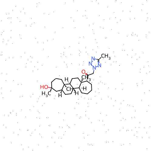 Cc1nnn(CC(=O)[C@H]2CCCC[C@H]3[C@@H]4CC[C@@H]5C[C@](C)(O)CCC[C@]5(C)[C@H]4CC[C@]23C)n1